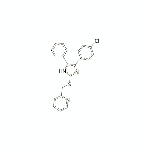 Clc1ccc(-c2nc(SCc3ccccn3)[nH]c2-c2ccccc2)cc1